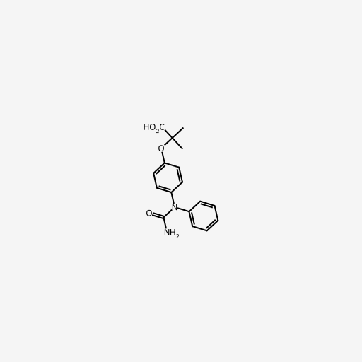 CC(C)(Oc1ccc(N(C(N)=O)c2ccccc2)cc1)C(=O)O